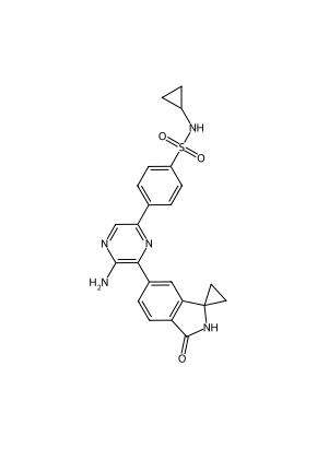 Nc1ncc(-c2ccc(S(=O)(=O)NC3CC3)cc2)nc1-c1ccc2c(c1)C1(CC1)NC2=O